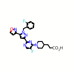 O=C(O)CCC1CCN(c2nc(-c3cc(-c4ccon4)n(Cc4ccccc4F)n3)ncc2F)CC1